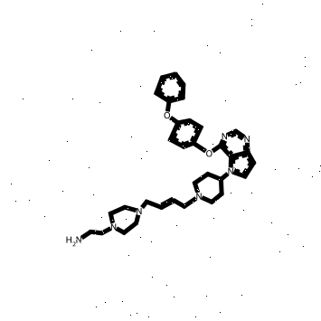 NCCN1CCN(CC=CCN2CCC(n3ccc4ncnc(Oc5ccc(Oc6ccccc6)cc5)c43)CC2)CC1